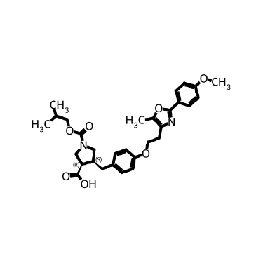 COc1ccc(-c2nc(CCOc3ccc(C[C@@H]4CN(C(=O)OCC(C)C)C[C@@H]4C(=O)O)cc3)c(C)o2)cc1